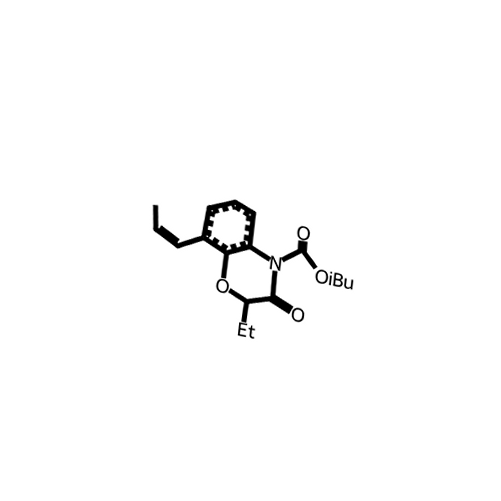 C/C=C\c1cccc2c1OC(CC)C(=O)N2C(=O)OCC(C)C